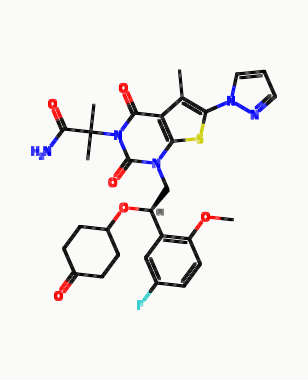 COc1ccc(F)cc1[C@H](Cn1c(=O)n(C(C)(C)C(N)=O)c(=O)c2c(C)c(-n3cccn3)sc21)OC1CCC(=O)CC1